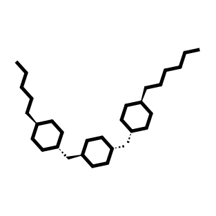 CCCCCC[C@H]1CC[C@H](C[C@H]2CC[C@H](C[C@H]3CC[C@H](CCCCC)CC3)CC2)CC1